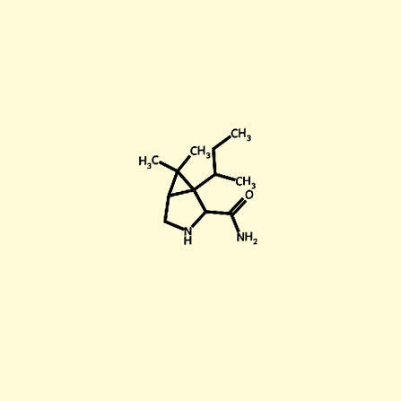 CCC(C)C12C(C(N)=O)NCC1C2(C)C